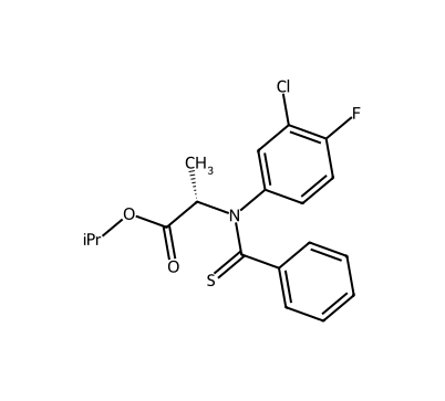 CC(C)OC(=O)[C@H](C)N(C(=S)c1ccccc1)c1ccc(F)c(Cl)c1